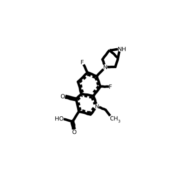 CCn1cc(C(=O)O)c(=O)c2cc(F)c(N3CC4NC4C3)c(F)c21